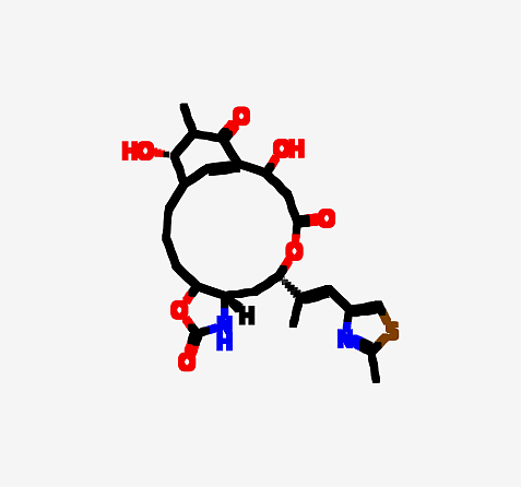 C/C(=C\c1csc(C)n1)[C@@H]1C[C@@H]2NC(=O)OC2CCCC2C=C(C(=O)C(C)[C@H]2O)C(O)CC(=O)O1